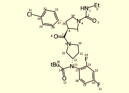 CCNC(=O)N1C[C@@H](C(=O)N2CC[C@H](N(C(=O)C(C)(C)C)c3ccc(F)cc3F)C2)[C@H](c2ccc(Cl)cc2)C1